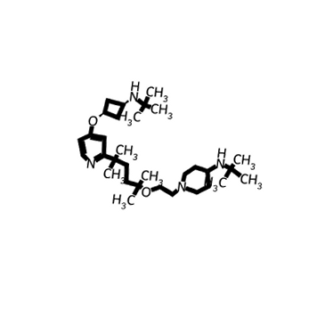 CC(C)(C)NC1CCN(CCOC(C)(C)CCC(C)(C)c2cc(O[C@H]3C[C@@H](NC(C)(C)C)C3)ccn2)CC1